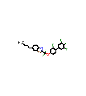 C=CCCc1ccc2nc(C(F)(F)Oc3ccc(-c4cc(F)c(F)c(F)c4)c(F)c3)sc2c1